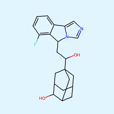 OC1C2CC3CC1CC(C(O)CC1c4c(F)cccc4-c4cncn41)(C3)C2